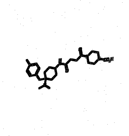 Cc1ccc(CC2(N(C)C)CCC(NC(=O)CCC(=O)N3CCN(C(=O)O)CC3)CC2)cc1